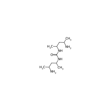 CC(N)CC(C)NC(=O)NC(C)CC(C)N